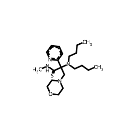 CCCCN(CCCC)C(CN1CCOCC1)(C(=S)NC)c1ccccn1